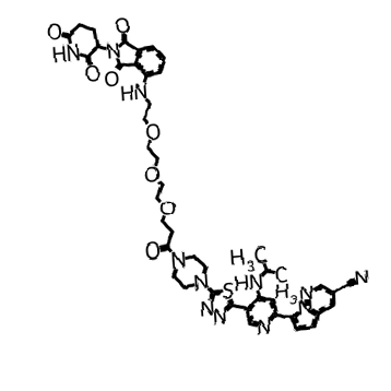 CC(C)Nc1cc(-c2ccc3cc(C#N)cnn23)ncc1-c1nnc(N2CCN(C(=O)CCOCCOCCOCCNc3cccc4c3C(=O)N(C3CCC(=O)NC3=O)C4=O)CC2)s1